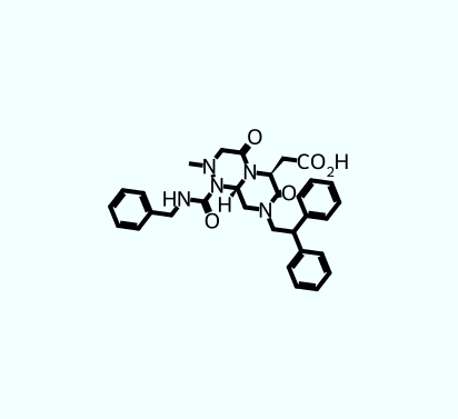 CN1CC(=O)N2[C@@H](CC(=O)O)C(=O)N(CC(c3ccccc3)c3ccccc3)C[C@@H]2N1C(=O)NCc1ccccc1